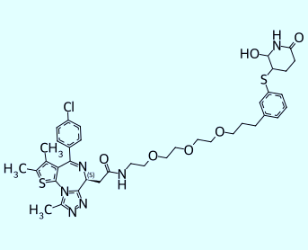 Cc1sc2c(c1C)C(c1ccc(Cl)cc1)=N[C@@H](CC(=O)NCCOCCOCCOCCCc1cccc(SC3CCC(=O)NC3O)c1)c1nnc(C)n1-2